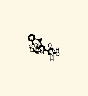 COC(O)c1ccccc1[C@H]1C[C@@H]1c1cc(-c2c[nH]c(=O)[nH]c2=O)nn2ccnc12